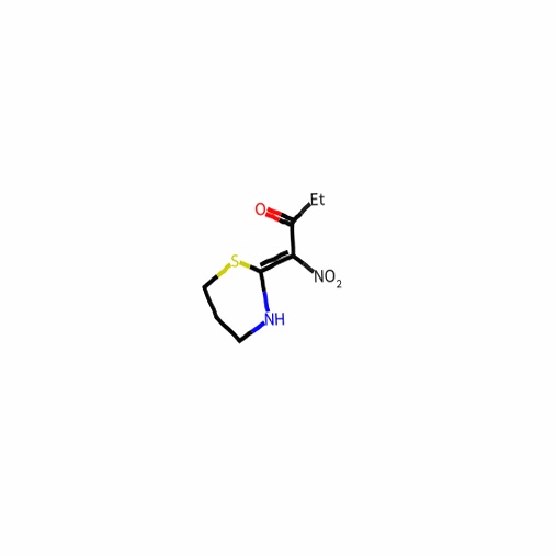 CCC(=O)C(=C1NCCCS1)[N+](=O)[O-]